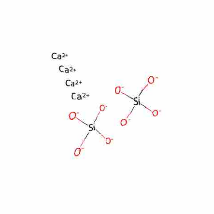 [Ca+2].[Ca+2].[Ca+2].[Ca+2].[O-][Si]([O-])([O-])[O-].[O-][Si]([O-])([O-])[O-]